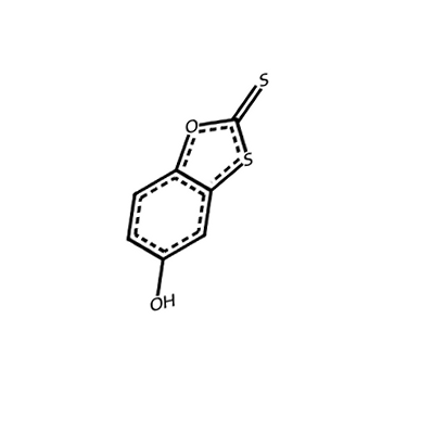 Oc1ccc2oc(=S)sc2c1